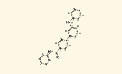 O=C(Nc1ccccc1)c1ccc(-c2ccnc(Nc3ccccc3)c2)cc1